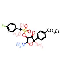 BC1(c2ccc(C(=O)OCC)cc2)OC(N)=C(OS(=O)(=O)C(B)(B)c2ccc(F)cc2)C1=O